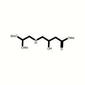 COC(=O)CC(O)CNCC(OC)OC